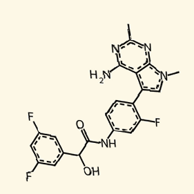 Cc1nc(N)c2c(-c3ccc(NC(=O)C(O)c4cc(F)cc(F)c4)cc3F)cn(C)c2n1